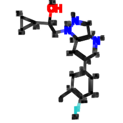 Cc1cc(-c2cnc3cnn(CC(O)C4CC4)c3c2)ccc1F